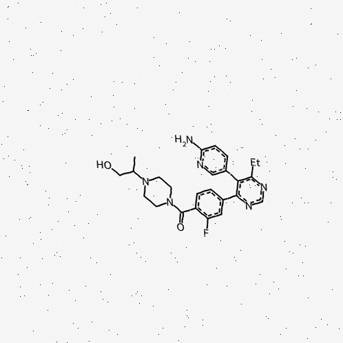 CCc1ncnc(-c2ccc(C(=O)N3CCN(C(C)CO)CC3)c(F)c2)c1-c1ccc(N)nc1